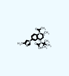 CC(=O)N1c2ccc(-n3cnc(C)c3)cc2[C@@H](N(C(=O)O)C(C)(C)C)C[C@H]1C